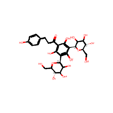 O=C(CCc1ccc(O)cc1)c1c(O)c([C@@H]2OC(CO)[C@@H](O)C(O)C2O)c(O)c([C@@H]2OC(CO)[C@@H](O)C(O)C2O)c1O